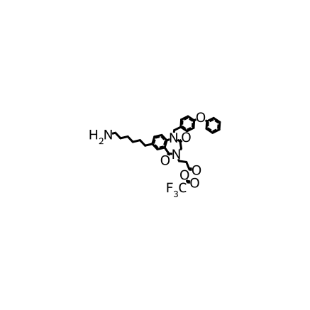 NCCCCCCc1ccc2c(c1)C(=O)N(CCC(=O)OC(=O)C(F)(F)F)CC(=O)N2Cc1ccc(Oc2ccccc2)cc1